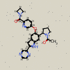 CC(=O)N1CCCC1c1cc2[nH]c(-c3cnccn3)cc2cc1Oc1ccc(C(=O)N2CCC2)nc1